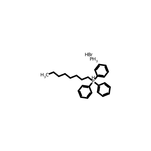 Br.CCCCCCCC[PH](c1ccccc1)(c1ccccc1)c1ccccc1.P